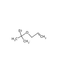 [CH2]C(C)([CH]C)OCC=C